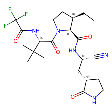 CC[C@@H]1CCN(C(=O)[C@@H](NC(=O)C(F)(F)F)C(C)(C)C)[C@@H]1C(=O)N[C@H](C#N)C[C@@H]1CCNC1=O